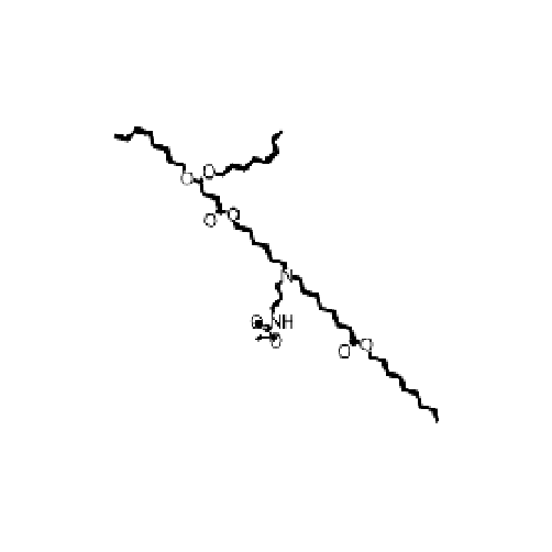 CC/C=C\CCCCOC(CCC(=O)OCCCCCCN(CCCCCCCC(=O)OCCCCCCCCC)CCCNS(C)(=O)=O)OCCCC/C=C\CC